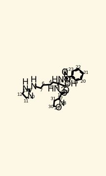 O=C(NC(CCCCNC1=NCCN1)(NS(=O)(=O)c1ccccc1)C(=O)O)C1=NOCC1